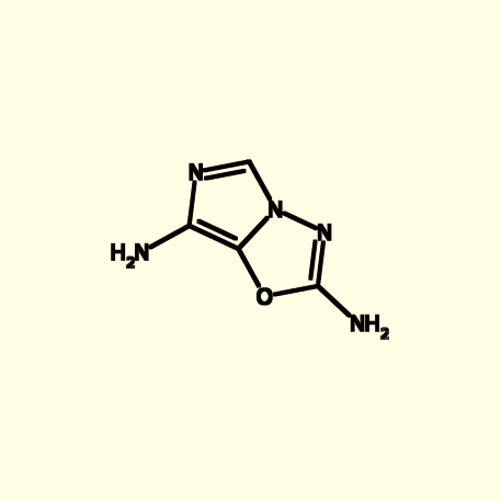 Nc1nn2cnc(N)c2o1